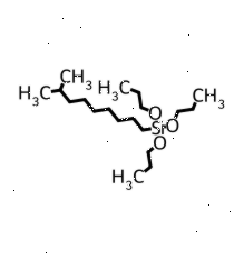 CCCO[Si](CCCCCCCC(C)C)(OCCC)OCCC